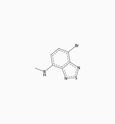 CBc1ccc(Br)c2nsnc12